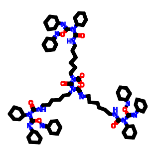 O=C(NCCCCCC/N=c1\oc(=O)n(CCCCCCNC(=O)N(/C(=N/C2CCCCC2)ON=C2CCCCC2)C2CCCCC2)c(=O)n1CCCCCCNC(=O)N(/C(=N/C1CCCCC1)ON=C1CCCCC1)C1CCCCC1)N(/C(=N/C1CCCCC1)ON=C1CCCCC1)C1CCCCC1